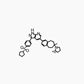 C[C@@H]1CCCN1C1(C)CCc2ccc(-c3cnc4[nH]nc(-c5ccc(S(=O)(=O)C6CCCC6)cc5)c4c3)cc2CC1